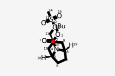 CC(C)(C)OC(=O)N1[C@@H]2CC[C@H]1C[C@H](COS(C)(=O)=O)C2